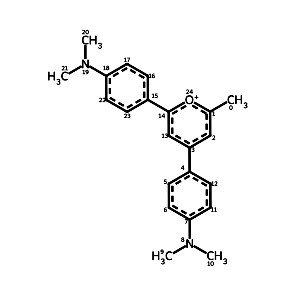 Cc1cc(-c2ccc(N(C)C)cc2)cc(-c2ccc(N(C)C)cc2)[o+]1